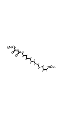 CCCCCCCC/C=C\CCCCCCCCCCCC(=O)OC(=O)OC